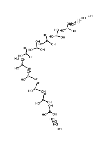 Cl.Cl.Cl.Cl.Cl.Cl.Cl.Cl.Cl.Cl.OB(O)O.OB(O)O.OB(O)O.OB(O)O.OB(O)O.OB(O)O.OB(O)O.OB(O)O.OB(O)O.OB(O)O.[LiH]